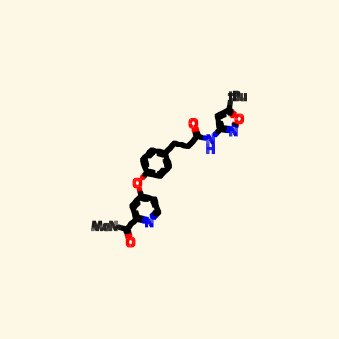 CNC(=O)c1cc(Oc2ccc(CCC(=O)Nc3cc(C(C)(C)C)on3)cc2)ccn1